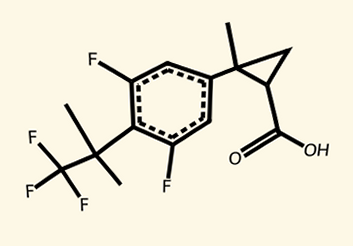 CC1(c2cc(F)c(C(C)(C)C(F)(F)F)c(F)c2)CC1C(=O)O